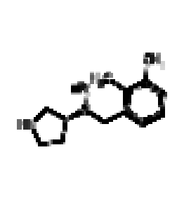 CCCN(Cc1cccc(C)c1C)[C@H]1CCNC1